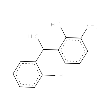 Cc1ccccc1C(C)c1cccc(C)c1C